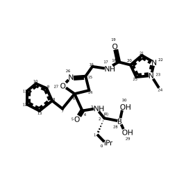 CC(C)C[C@H](NC(=O)C1(Cc2ccccc2)CC(CNC(=O)c2cnn(C)c2)=NO1)B(O)O